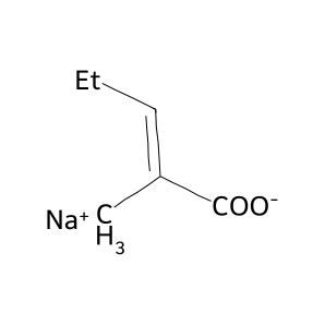 CCC=C(C)C(=O)[O-].[Na+]